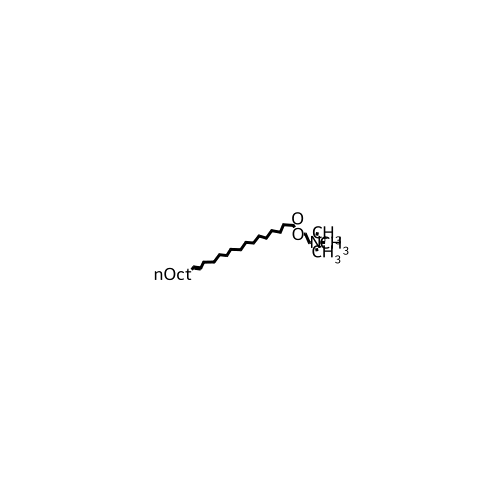 CCCCCCCCC=CCCCCCCCCCCCCCC(=O)OCC[N+](C)(C)C